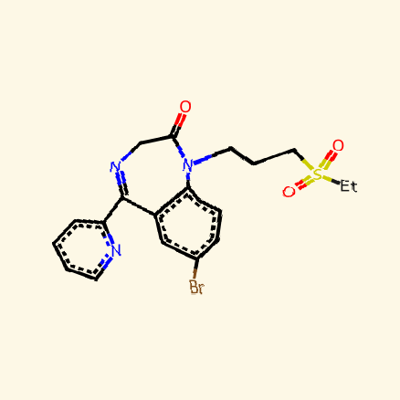 CCS(=O)(=O)CCCN1C(=O)CN=C(c2ccccn2)c2cc(Br)ccc21